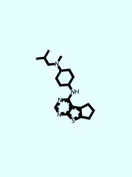 CC(C)CN(C)C1CCC(Nc2ncnc3sc4c(c23)CCC4)CC1